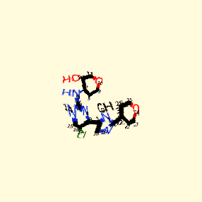 Cn1c(-c2nc(N[C@@H]3CCOC[C@H]3O)ncc2Cl)cnc1C1CCOCC1